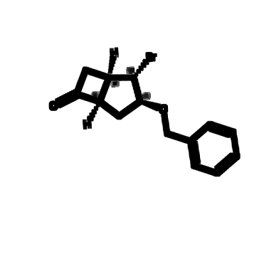 O=C1C[C@H]2[C@H](Br)[C@@H](OCc3ccccc3)C[C@@H]12